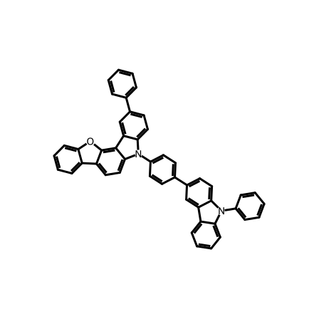 c1ccc(-c2ccc3c(c2)c2c4oc5ccccc5c4ccc2n3-c2ccc(-c3ccc4c(c3)c3ccccc3n4-c3ccccc3)cc2)cc1